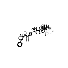 CC(O[Si](C)(C)C(C)(C)C)c1noc([C@H]2C[C@@H](NC(=O)c3cc(-c4ccccc4)on3)C2)n1